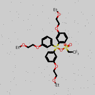 CCOCCOc1cccc(S(OS(=O)(=O)CC(F)(F)F)(c2cccc(OCCOCC)c2)c2cccc(OCCOCC)c2)c1